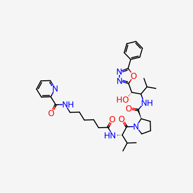 CC(C)C(NC(=O)[C@H]1CCCN1C(=O)[C@@H](NC(=O)CCCCCNC(=O)c1ccccn1)C(C)C)[C@H](O)c1nnc(-c2ccccc2)o1